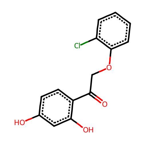 O=C(COc1ccccc1Cl)c1ccc(O)cc1O